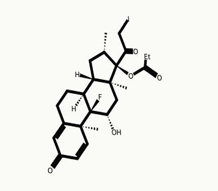 CCC(=O)O[C@]1(C(=O)CI)[C@@H](C)C[C@H]2[C@@H]3CCC4=CC(=O)C=C[C@]4(C)[C@@]3(F)[C@@H](O)C[C@@]21C